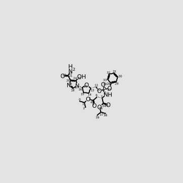 CC(C)OC(=O)C[C@H](NP(=O)(OC[C@@H]1CC[C@H](n2cnc(C(N)=O)c2O)O1)Oc1ccccc1)C(=O)OC(C)C